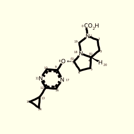 O=C(O)N1CC[C@@H]2CC[C@H](Oc3cnc(C4CC4)cn3)N2C1